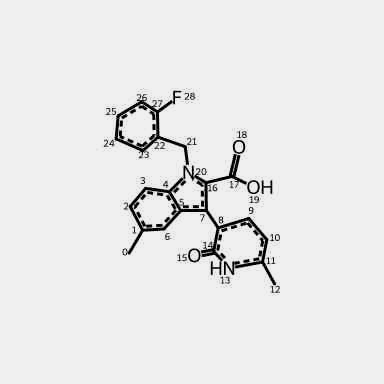 Cc1ccc2c(c1)c(-c1ccc(C)[nH]c1=O)c(C(=O)O)n2Cc1ccccc1F